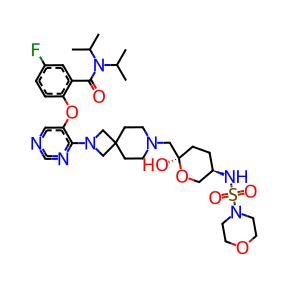 CC(C)N(C(=O)c1cc(F)ccc1Oc1cncnc1N1CC2(CCN(C[C@@]3(O)CC[C@@H](NS(=O)(=O)N4CCOCC4)CO3)CC2)C1)C(C)C